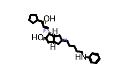 O[C@H](/C=C/[C@@H]1[C@H]2C/C(=C/CCCCNc3ccccc3)C[C@H]2C[C@H]1O)C1CCCC1